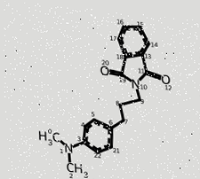 CN(C)c1ccc(CCCN2C(=O)c3ccccc3C2=O)cc1